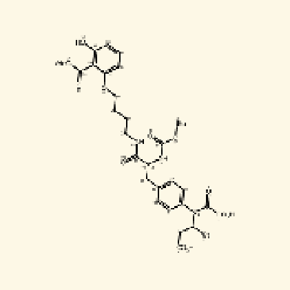 CCC(CC(=O)O)N(C(=O)C(=O)O)c1ccc(C[C@H](NC(=O)OC(C)(C)C)C(=O)NCCCCOc2cccc(O)c2C(=O)OC)cc1